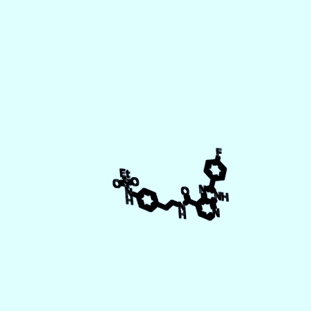 CCS(=O)(=O)Nc1ccc(CCNC(=O)c2ccnc3[nH]c(-c4ccc(F)cc4)nc23)cc1